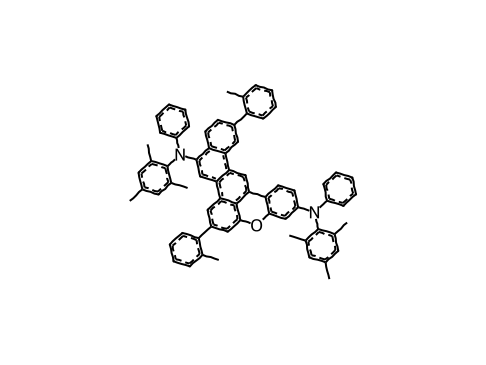 Cc1cc(C)c(N(c2ccccc2)c2ccc3c(c2)Oc2cc(-c4ccccc4C)cc4c2c-3cc2c3cc(-c5ccccc5C)ccc3c(N(c3ccccc3)c3c(C)cc(C)cc3C)cc42)c(C)c1